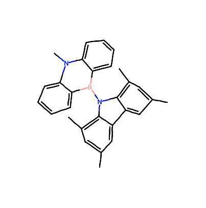 Cc1cc(C)c2c(c1)c1cc(C)cc(C)c1n2B1c2ccccc2N(C)c2ccccc21